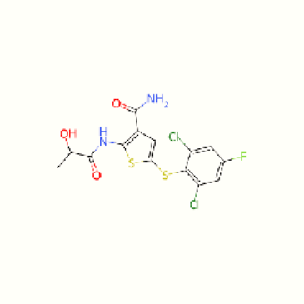 CC(O)C(=O)Nc1sc(Sc2c(Cl)cc(F)cc2Cl)cc1C(N)=O